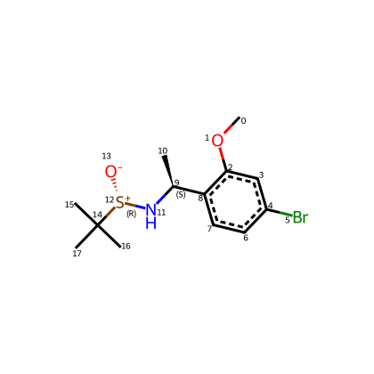 COc1cc(Br)ccc1[C@H](C)N[S@@+]([O-])C(C)(C)C